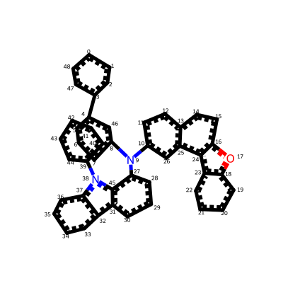 c1ccc(-c2cccc(N(c3ccc4ccc5oc6ccccc6c5c4c3)c3cccc4c5ccccc5n(-c5ccccc5)c34)c2)cc1